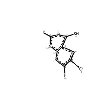 Cc1nc(S)c2cc(Cl)c(F)cc2n1